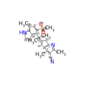 Cc1nc2c(c(C)c1C#N)C=C(C(C)(C)c1c(S(C)(=O)=O)cc(C)c3[nH]ccc13)C2